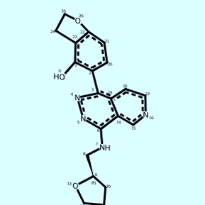 Oc1c(-c2nnc(NC[C@H]3CCCO3)c3cnccc23)ccc2c1CCO2